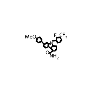 COc1ccc(-c2c[c]c3c4c(C(N)=O)cccc4n(Cc4cccc(C(F)(F)F)c4F)c3c2)cc1